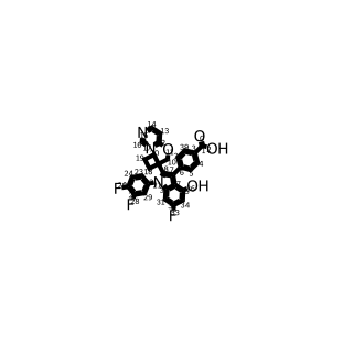 O=C(O)c1ccc(-c2c(C3(COc4ccncn4)CCC3)n(-c3ccc(F)c(F)c3)c3cc(F)cc(O)c23)cc1